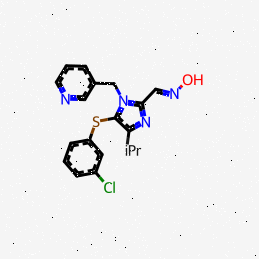 CC(C)c1nc(/C=N/O)n(Cc2cccnc2)c1Sc1cccc(Cl)c1